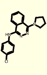 Clc1ccc(Nc2nnc(N3C[CH]CC3)c3ccccc23)cc1